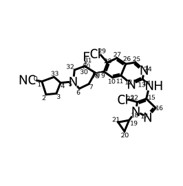 N#CC1CCC(N2CC[C@H](c3cc4nc(Nc5cnn(C6CC6)c5Cl)ncc4cc3Cl)[C@@H](F)C2)C1